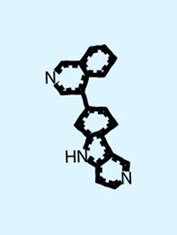 c1ccc2c(-c3ccc4c(c3)[nH]c3ccncc34)cncc2c1